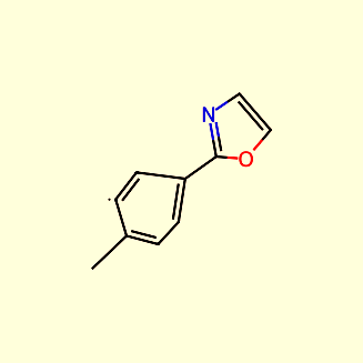 Cc1[c]cc(-c2ncco2)cc1